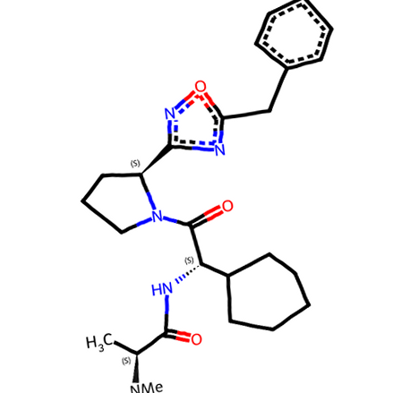 CN[C@@H](C)C(=O)N[C@H](C(=O)N1CCC[C@H]1c1noc(Cc2ccccc2)n1)C1CCCCC1